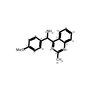 CSc1ccc(C(N)c2nc(C)nc3ccccc23)cc1